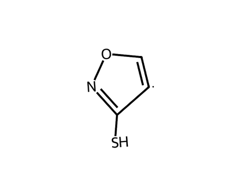 Sc1[c]con1